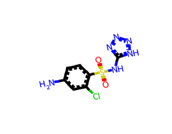 Nc1ccc(S(=O)(=O)Nc2nnn[nH]2)c(Cl)c1